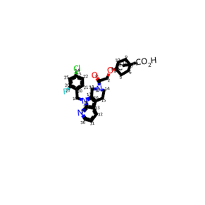 O=C(COC12CCC(C(=O)O)(CC1)CC2)N1CCc2c(n(Cc3ccc(Cl)cc3F)c3ncccc23)C1